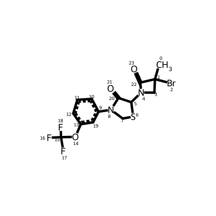 CC1(Br)CN(C2SCN(c3cccc(OC(F)(F)F)c3)C2=O)C1=O